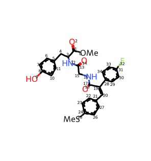 COC(=O)C(Cc1ccc(O)cc1)NC(=O)CNC(=O)/C(=C\c1ccc(SC)cc1)c1ccc(F)cc1